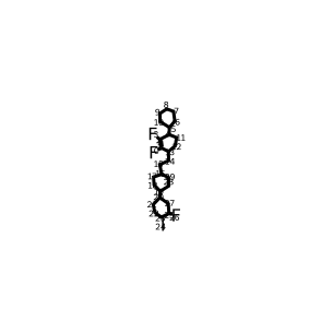 FC1=C(F)C(C2CCCCC2)CCC1CCC1CCC(C2CCC(I)C(F)C2)CC1